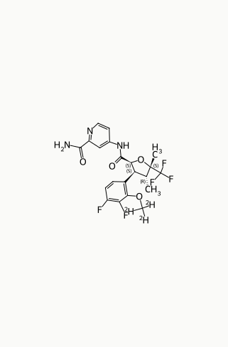 [2H]C([2H])([2H])Oc1c([C@H]2[C@@H](C(=O)Nc3ccnc(C(N)=O)c3)O[C@](C)(C(F)(F)F)[C@@H]2C)ccc(F)c1F